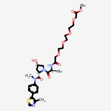 Cc1ncsc1-c1ccc(N(C)C(=O)[C@@H]2C[C@@H](O)CN2C(=O)[C@@H](NC(=O)COCCOCCOCCOCC(=O)OC(C)(C)C)C(C)(C)C)cc1